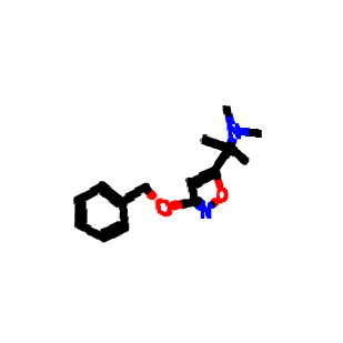 CN(C)C(C)(C)c1cc(OCc2ccccc2)no1